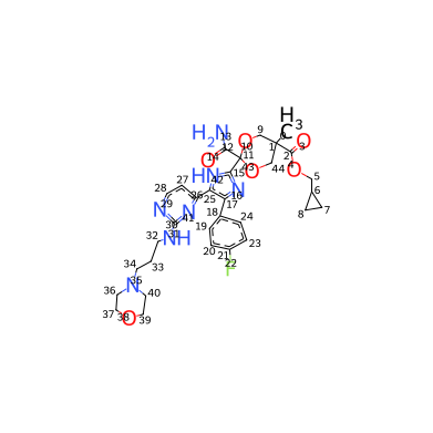 CC1(C(=O)OCC2CC2)COC(C(N)=O)(c2nc(-c3ccc(F)cc3)c(-c3ccnc(NCCCN4CCOCC4)n3)[nH]2)OC1